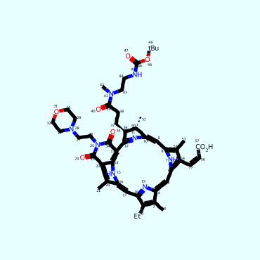 CCC1=C(C)c2cc3[nH]c(cc4nc(c5c6[nH]c(cc1n2)c(C)c6C(=O)N(CCN1CCOCC1)C5=O)[C@@H](CCC(=O)N(C)CCNC(=O)OC(C)(C)C)[C@@H]4C)c(C)c3/C=C\C(=O)O